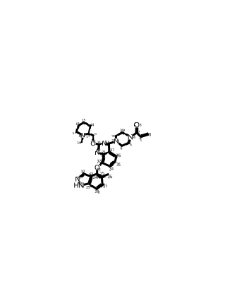 C=CC(=O)N1CCN(c2nc(OCC3CCCCN3C)nc3c(Oc4c(C)ccc5[nH]ncc45)cccc23)CC1